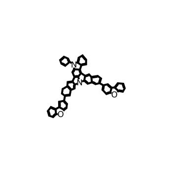 C1=C(c2ccc3oc4ccccc4c3c2)CCc2cc3c4cc5c(c6ccccc6n5-c5ccccc5)c5c6cc7ccc(-c8ccc9oc%10ccccc%10c9c8)cc7cc6n(c3cc21)c45